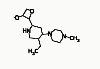 CCC1CNC(C2OCC2[O])CC1N1CCN(C)CC1